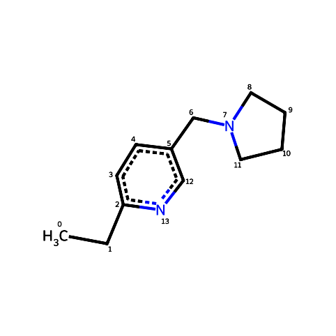 CCc1ccc(CN2CCCC2)cn1